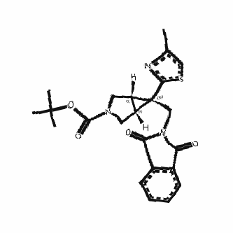 Cc1csc([C@]2(CN3C(=O)c4ccccc4C3=O)[C@@H]3CN(C(=O)OC(C)(C)C)C[C@@H]32)n1